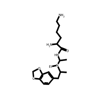 CCN(C(C)Cc1ccc2c(c1)OCO2)C(C)NC(=O)C(N)CCCCN